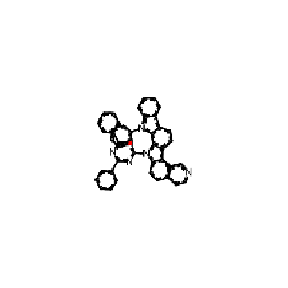 c1ccc(-c2nc(-c3ccccc3)nc(-n3c4ccc5ccncc5c4c4ccc5c6ccccc6n(-c6ccccc6)c5c43)n2)cc1